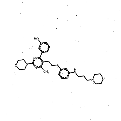 Cc1nc(N2CCOCC2)nc(-c2cccc(O)c2)c1CCCc1ccnc(NCCCN2CCOCC2)c1